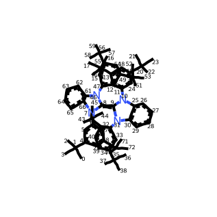 CC(C)(C)c1cc(N2C(=C3N(c4cc(C(C)(C)C)cc(C(C)(C)C)c4)c4ccccc4N3c3cc(C(C)(C)C)ccc3C(C)(C)C)N(c3cc(C(C)(C)C)cc(C(C)(C)C)c3)c3ccccc32)cc(C(C)(C)C)c1